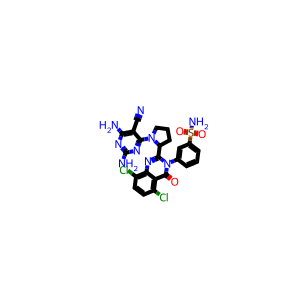 N#Cc1c(N)nc(N)nc1N1CCCC1c1nc2c(Cl)ccc(Cl)c2c(=O)n1-c1cccc(S(N)(=O)=O)c1